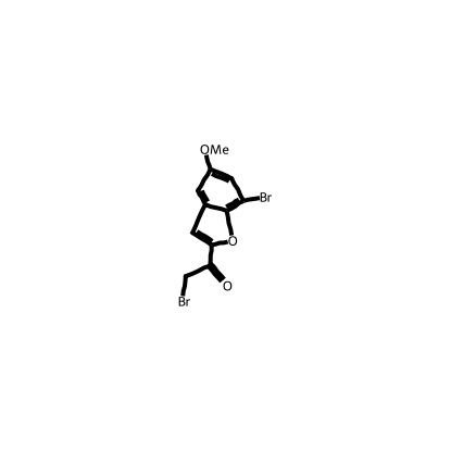 COc1cc(Br)c2oc(C(=O)CBr)cc2c1